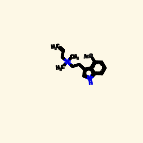 C=CC[N+](C)(C)CCc1c[nH]c2cccc(OC(C)=O)c12